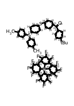 Cc1ccc([S+](c2ccc(C)cc2)c2ccc(Sc3ccc(C(=O)c4ccc(C(C)(C)C)cc4)cc3)cc2)cc1.Fc1c(F)c(F)c([B-](c2c(F)c(F)c(F)c(F)c2F)(c2c(F)c(F)c(F)c(F)c2F)c2c(F)c(F)c(F)c(F)c2F)c(F)c1F